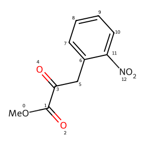 COC(=O)C(=O)Cc1ccccc1[N+](=O)[O-]